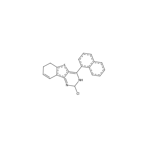 ClC1N=c2c3c(sc2=C(c2cccc4ccccc24)N1)CCC=C3